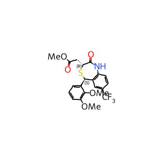 COC(=O)C[C@H]1S[C@H](c2cccc(OC)c2OC)c2cc(C(F)(F)F)ccc2NC1=O